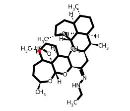 CCN/N=C(/C[C@H]1O[C@@H]2O[C@]3(C)CC[C@H]4[C@H](C)CC[C@@H]([C@H]1C)[C@@]24OO3)[C@H]1O[C@@H]2O[C@@H](C)CC[C@H]3[C@H](C)CC[C@@H]([C@H]1C)[C@@]23OO